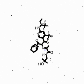 CC[C@H](Nc1cc(C(F)(F)F)c(C(=S)C(/N=C(\C)C(=O)NCC(C)(C)O)C(=O)N2C3CCC2CC3)cn1)C(F)(F)F